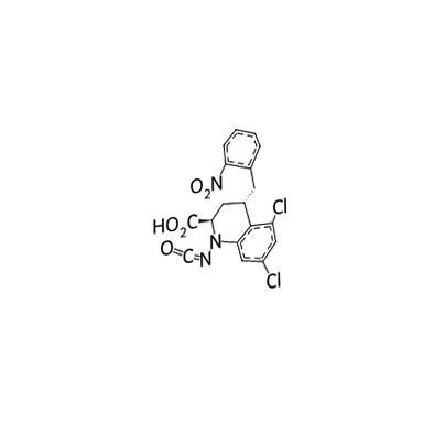 O=C=NN1c2cc(Cl)cc(Cl)c2[C@@H](Cc2ccccc2[N+](=O)[O-])C[C@@H]1C(=O)O